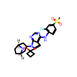 CC1(ON2[C@H]3CC[C@H]2CC(n2ccc4c(Nc5ccc(S(C)(=O)=O)cc5F)ncnc42)C3)CCC1